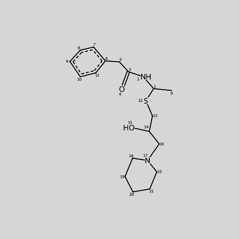 CC(NC(=O)Cc1ccccc1)SCC(O)CN1CCCCC1